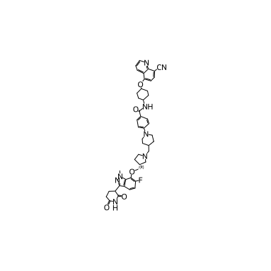 Cn1nc(C2CCC(=O)NC2=O)c2ccc(F)c(OC[C@@H]3CCN(CC4CCN(c5ccc(C(=O)NC6CCC(Oc7ccc(C#N)c8ncccc78)CC6)cc5)CC4)C3)c21